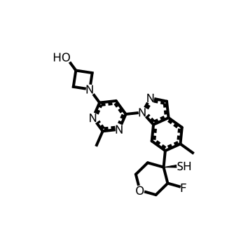 Cc1nc(N2CC(O)C2)cc(-n2ncc3cc(C)c([C@@]4(S)CCOCC4F)cc32)n1